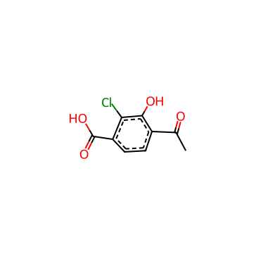 CC(=O)c1ccc(C(=O)O)c(Cl)c1O